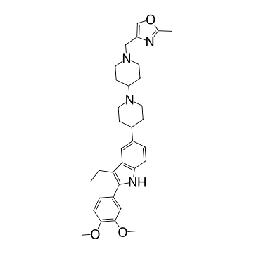 CCc1c(-c2ccc(OC)c(OC)c2)[nH]c2ccc(C3CCN(C4CCN(Cc5coc(C)n5)CC4)CC3)cc12